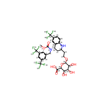 COC(=O)N(Cc1cc(C(F)(F)F)cc(C(F)(F)F)c1)[C@H]1CC(CCOC2OC(C(=O)O)C(O)C(O)C2O)Nc2ccc(C(F)(F)F)cc21